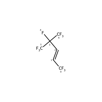 FC(F)(F)C=CC(F)(C(F)(F)F)C(F)(F)F